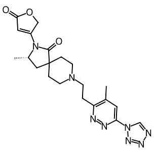 Cc1cc(-n2cnnn2)nnc1CCN1CCC2(CC1)C[C@H](C)N(C1=CC(=O)OC1)C2=O